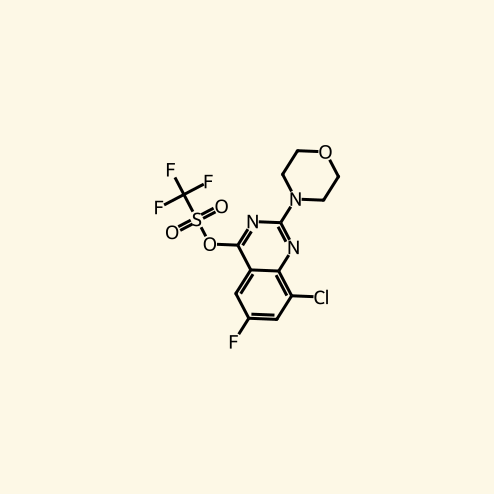 O=S(=O)(Oc1nc(N2CCOCC2)nc2c(Cl)cc(F)cc12)C(F)(F)F